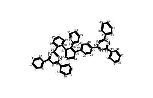 c1ccc(-c2cc(-c3ccccc3)nc(-c3ccccc3-c3cccc(-c4ccc(-c5nc(-c6ccccc6)nc(-c6ccccc6)n5)cc4)c3-c3ccccn3)n2)cc1